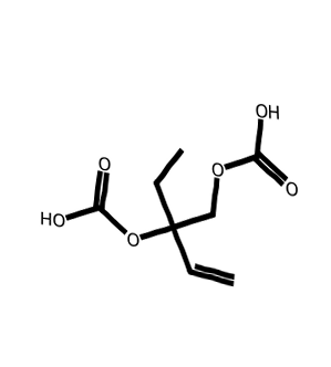 C=CC(CC)(COC(=O)O)OC(=O)O